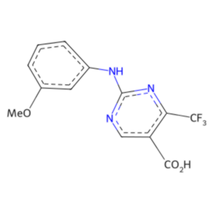 COc1cccc(Nc2ncc(C(=O)O)c(C(F)(F)F)n2)c1